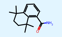 CC1(C)CCC(C)(C)c2c(C(N)=O)[c]ccc21